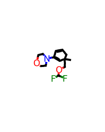 CC1(COC(F)F)C=C(N2CCOCC2)C=CC1